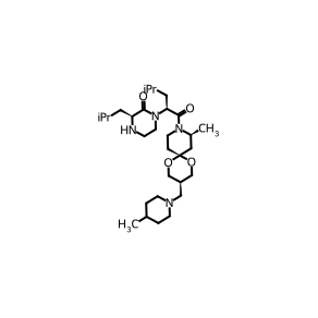 CC(C)C[C@@H]1NCCN([C@@H](CC(C)C)C(=O)N2CC[C@]3(C[C@@H]2C)OC[C@H](CN2CCC(C)CC2)CO3)C1=O